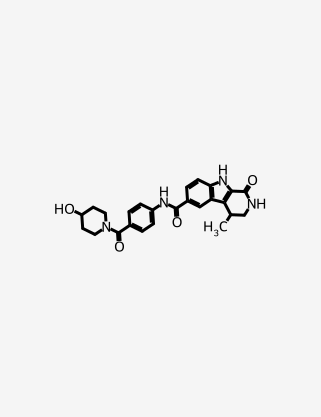 CC1CNC(=O)c2[nH]c3ccc(C(=O)Nc4ccc(C(=O)N5CCC(O)CC5)cc4)cc3c21